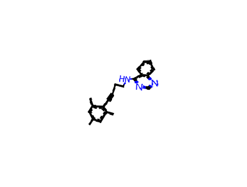 Cc1cc(C)c(C#CCCNc2ncnc3ccccc23)c(C)c1